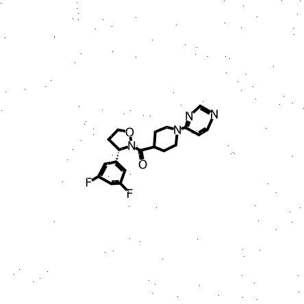 O=C(C1CCN(c2ccncn2)CC1)N1OCC[C@H]1c1cc(F)cc(F)c1